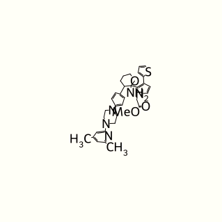 COC(=O)Cn1ccc(-c2cccs2)c1C1(N)OCCCC1c1ccc(N2CCN(c3cc(C)cc(C)n3)CC2)cc1